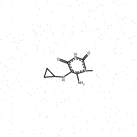 Cn1c(N)c(NC2CC2)c(=O)[nH]c1=O